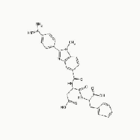 Cn1c(-c2ccc(C(=N)N)cc2)nc2cc(C(=O)NC(CC(=O)O)C(=O)NC(Cc3ccccc3)C(=O)O)ccc21